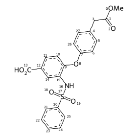 COC(=O)Cc1ccc(Oc2ccc(C(=O)O)cc2NS(=O)(=O)c2ccccc2)cc1